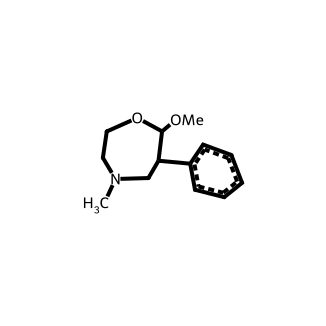 COC1OCCN(C)CC1c1ccccc1